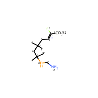 CCOC(=O)/C(F)=C/CC(C)(C)CC(C)(C)PCN